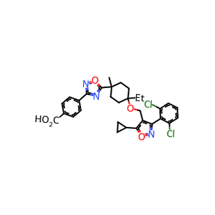 CCC1(OCc2c(-c3c(Cl)cccc3Cl)noc2C2CC2)CCC(C)(c2nc(-c3ccc(C(=O)O)cc3)no2)CC1